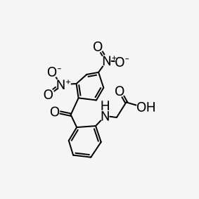 O=C(O)CNc1ccccc1C(=O)c1ccc([N+](=O)[O-])cc1[N+](=O)[O-]